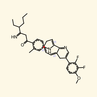 CCCC(CC)C(=N)CC(=O)c1ccc(N/C2=C\C/C=C\C=C3\CC(c4ccc(OC)c(F)c4F)=CN=C32)cc1C